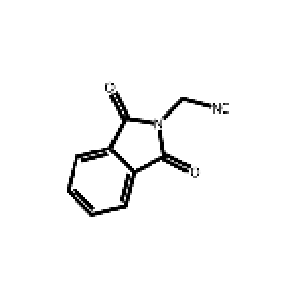 [C-]#[N+]CN1C(=O)c2ccccc2C1=O